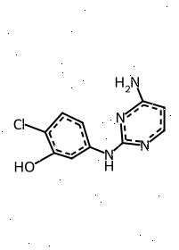 Nc1ccnc(Nc2ccc(Cl)c(O)c2)n1